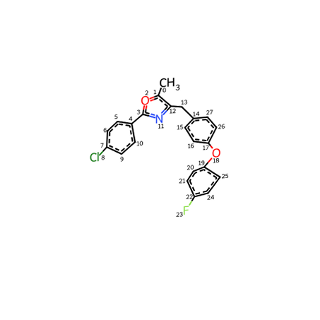 Cc1oc(-c2ccc(Cl)cc2)nc1Cc1ccc(Oc2ccc(F)cc2)cc1